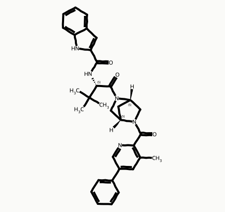 Cc1cc(-c2ccccc2)cnc1C(=O)N1C[C@@H]2C[C@H]1CN2C(=O)[C@@H](NC(=O)c1cc2ccccc2[nH]1)C(C)(C)C